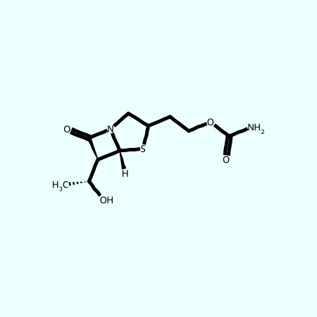 C[C@@H](O)[C@H]1C(=O)N2CC(CCOC(N)=O)S[C@H]12